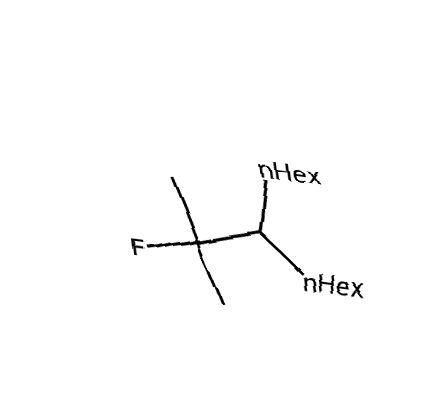 CCCCCCC(CCCCCC)C(C)(C)F